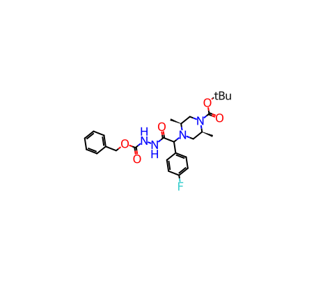 C[C@H]1CN(C(C(=O)NNC(=O)OCc2ccccc2)c2ccc(F)cc2)[C@@H](C)CN1C(=O)OC(C)(C)C